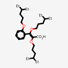 CCC(CC)CCCOC(C(=O)O)=C(OCCCC(CC)CC)c1ccccc1OCCCC(CC)CC